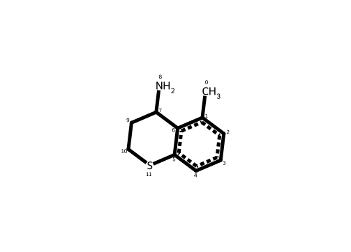 Cc1cccc2c1C(N)CCS2